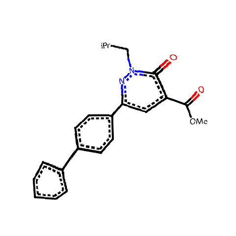 COC(=O)c1cc(-c2ccc(-c3ccccc3)cc2)nn(CC(C)C)c1=O